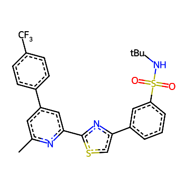 Cc1cc(-c2ccc(C(F)(F)F)cc2)cc(-c2nc(-c3cccc(S(=O)(=O)NC(C)(C)C)c3)cs2)n1